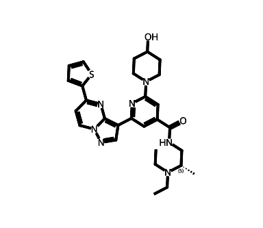 CCN(CC)[C@@H](C)CNC(=O)c1cc(-c2cnn3ccc(-c4cccs4)nc23)nc(N2CCC(O)CC2)c1